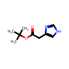 CC(C)(C)OC(=O)[CH]c1c[nH]cn1